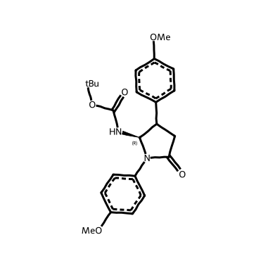 COc1ccc(C2CC(=O)N(c3ccc(OC)cc3)[C@H]2NC(=O)OC(C)(C)C)cc1